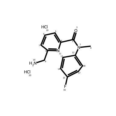 CN(C(=O)c1cccc(CN)n1)c1ccc(F)cc1.Cl.Cl